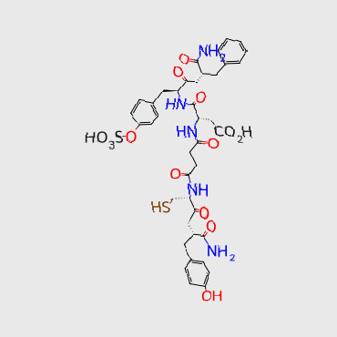 NC(=O)[C@@H](CC(=O)[C@H](CS)NC(=O)CCC(=O)N[C@@H](CC(=O)O)C(=O)N[C@@H](Cc1ccc(OS(=O)(=O)O)cc1)C(=O)C[C@@H](Cc1ccccc1)C(N)=O)Cc1ccc(O)cc1